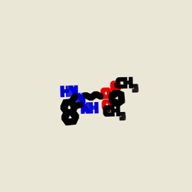 COc1cccc(OC)c1OCCCCN1C(=N)c2ccc3ccccc3c2C1=N